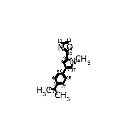 CC(C)c1ccc(-c2cc(-c3ncco3)n(C)c2)cc1